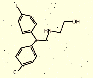 OCCN[CH][C](c1ccc(Cl)cc1)c1ccc(I)cc1